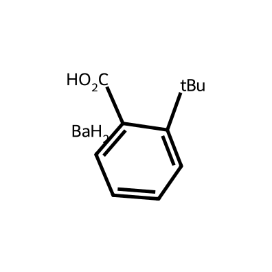 CC(C)(C)c1ccccc1C(=O)O.[BaH2]